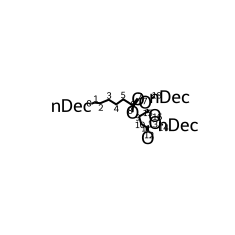 CCCCCCCCCCCCCCCC(=O)OC(CC(=O)OCCCCCCCCCC)C(=O)OCCCCCCCCCC